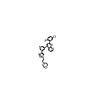 Fc1ccc(Cl)cc1-c1cc(-c2cncc(-c3cn(CCN4CCOCC4)nn3)c2)c2cccnc2n1